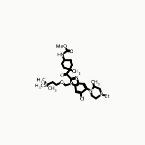 CCN1CCN(c2cc3nc(C(=O)C4(C)CCC(NC(=O)OC)CC4)n(COCC[Si](C)(C)C)c3cc2Cl)C(C)C1